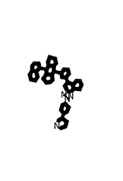 c1cncc(-c2ccc(-n3nc4cc(-c5cccc(-c6c7ccccc7c(-c7cccc8ccccc78)c7ccccc67)c5)c5ccccc5c4n3)cc2)c1